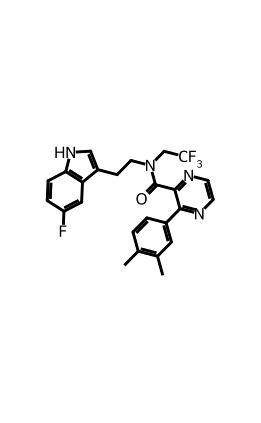 Cc1ccc(-c2nccnc2C(=O)N(CCc2c[nH]c3ccc(F)cc23)CC(F)(F)F)cc1C